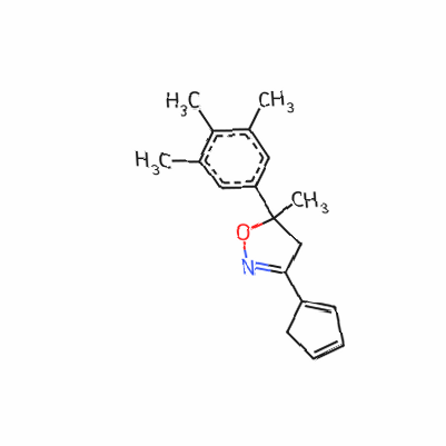 Cc1cc(C2(C)CC(C3=CC=CC3)=NO2)cc(C)c1C